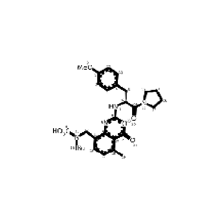 COc1ccc(C[C@H](Nc2nc3c(CN(C(=O)O)C(C)(C)C)ccc(C)c3c(=O)o2)C(=O)N2CCCC2)cc1